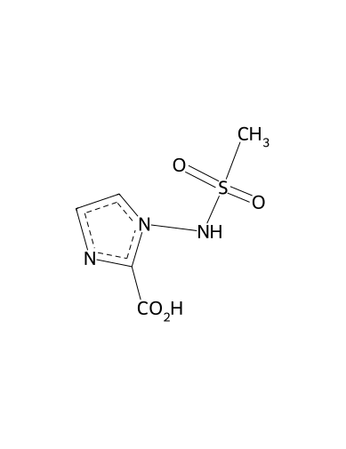 CS(=O)(=O)Nn1ccnc1C(=O)O